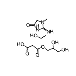 CCO.CN1CC(=O)NC1=N.O=C(O)CC(=O)OCC(O)CO